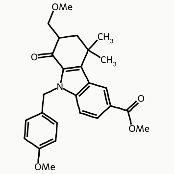 COCC1CC(C)(C)c2c(n(Cc3ccc(OC)cc3)c3ccc(C(=O)OC)cc23)C1=O